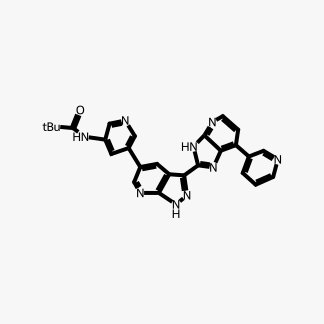 CC(C)(C)C(=O)Nc1cncc(-c2cnc3[nH]nc(-c4nc5c(-c6cccnc6)ccnc5[nH]4)c3c2)c1